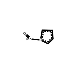 [O]=[Mn][n]1cccc1